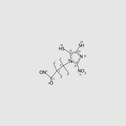 CC(C)(C(=O)N=O)C(C)(C)n1c([N+](=O)[O-])nc(S)c1S